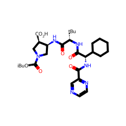 CC(C)COC(=O)N1C[C@H](NC(=O)[C@@H](NC(=O)[C@@H](NC(=O)c2cnccn2)C2CCCCC2)C(C)(C)C)[C@H](C(=O)O)C1